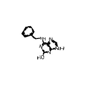 Oc1nc(NCc2ccccc2)c2nc[nH]c2n1